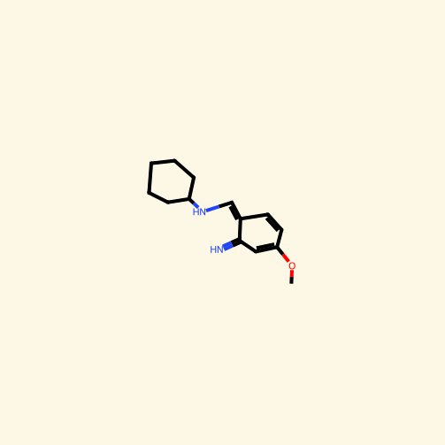 COC1=CC(=N)/C(=C\NC2CCCCC2)C=C1